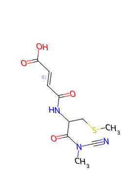 CSCC(NC(=O)/C=C/C(=O)O)C(=O)N(C)C#N